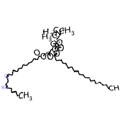 CCCCC/C=C\C/C=C\CCCCCCCCCCCC(=O)OC[C@H](COP(=O)([O-])OCC[N+](C)(C)C)OC(=O)CCCCCCCCCCCCCCCCCCCC